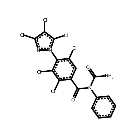 NC(=O)N(C(=O)c1cc(Cl)c(-n2nc(Cl)c(Cl)c2Cl)c(Cl)c1Cl)c1ccccc1